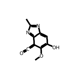 COc1c(O)cc2c(c1=C=O)=NC(C)=N2